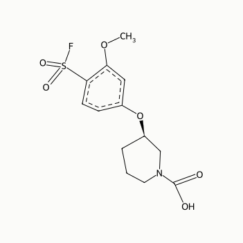 COc1cc(O[C@@H]2CCCN(C(=O)O)C2)ccc1S(=O)(=O)F